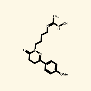 COc1ccc(C2=NN(CCCCN=C(NC#N)SC)C(=O)CC2)cc1